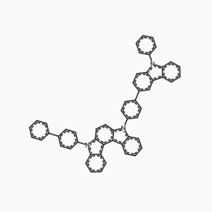 c1ccc(-c2ccc(-n3c4ccccc4c4c5c6ccccc6n(-c6ccc(-c7ccc8c(c7)c7ccccc7n8-c7ccccc7)cc6)c5ccc43)cc2)cc1